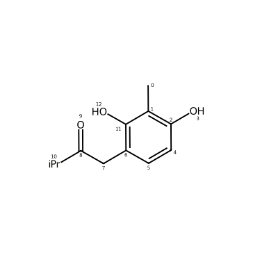 Cc1c(O)ccc(CC(=O)C(C)C)c1O